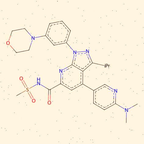 CC(C)c1nn(-c2cccc(N3CCOCC3)c2)c2nc(C(=O)NS(C)(=O)=O)cc(-c3ccc(N(C)C)nc3)c12